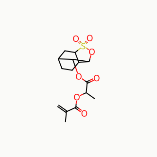 C=C(C)C(=O)OC(C)C(=O)OC1C2CCC3C1OS(=O)(=O)C3C2